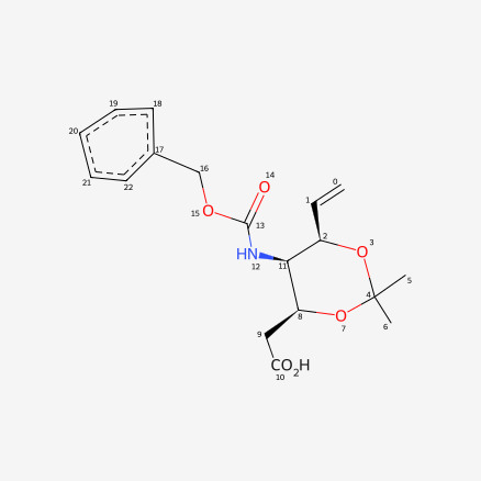 C=C[C@H]1OC(C)(C)O[C@@H](CC(=O)O)[C@H]1NC(=O)OCc1ccccc1